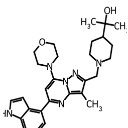 Cc1c(CN2CCC(C(C)(C)O)CC2)nn2c(N3CCOCC3)cc(-c3cccc4[nH]ccc34)nc12